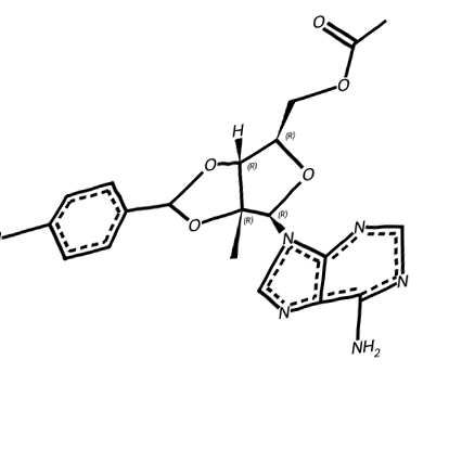 CC(=O)OC[C@H]1O[C@@H](n2cnc3c(N)ncnc32)[C@]2(C)OC(c3ccc(Cl)cc3)O[C@H]12